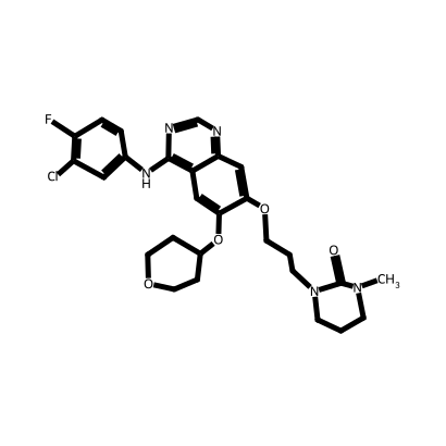 CN1CCCN(CCCOc2cc3ncnc(Nc4ccc(F)c(Cl)c4)c3cc2OC2CCOCC2)C1=O